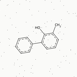 [CH2]c1cccc(-c2ccccc2)c1O